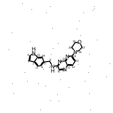 c1cc2ccc(CNc3cnc4ccc(N5CCOCC5)nc4n3)cc2[nH]1